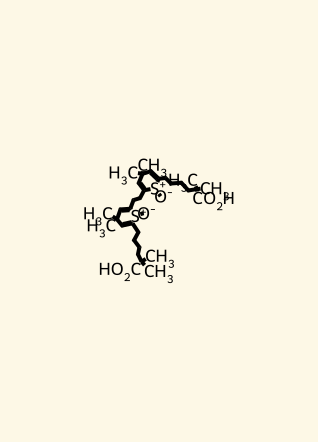 CC1(C)C=C(CCCCC(C)(C)C(=O)O)[S+]([O-])C(CCC2=CC(C)(C)C=C(CCCCC(C)(C)C(=O)O)[S+]2[O-])=C1